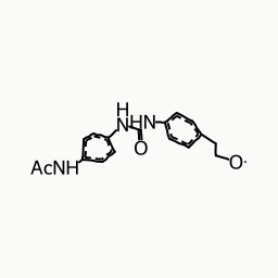 CC(=O)Nc1ccc(NC(=O)Nc2ccc(CC[O])cc2)cc1